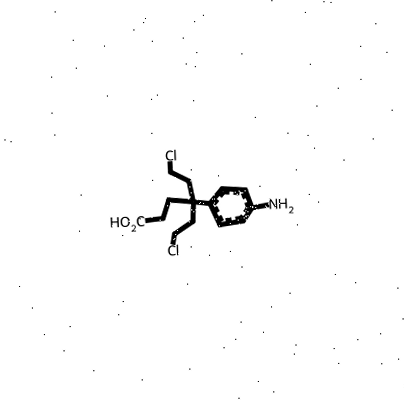 Nc1ccc(C(CCCl)(CCCl)CCC(=O)O)cc1